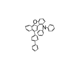 c1ccc(-c2ccc(-c3cc4c(oc5cccc(N(c6ccccc6)c6ccccc6)c54)c4ccccc34)cc2)cc1